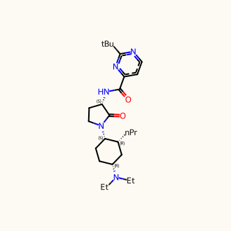 CCC[C@@H]1C[C@H](N(CC)CC)CC[C@@H]1N1CC[C@H](NC(=O)c2ccnc(C(C)(C)C)n2)C1=O